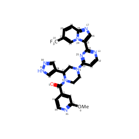 COc1cc(C(=O)N2CCN(c3ccnc(-c4cnc5ccc(C(F)(F)F)cn45)n3)CC2c2cn[nH]c2)ccn1